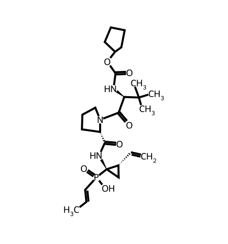 C=C[C@@H]1C[C@]1(NC(=O)[C@@H]1CCCN1C(=O)[C@@H](NC(=O)OC1CCCC1)C(C)(C)C)P(=O)(O)/C=C/C